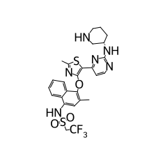 Cc1nc(Oc2c(C)cc(NS(=O)(=O)CC(F)(F)F)c3ccccc23)c(-c2ccnc(N[C@H]3CCCNC3)n2)s1